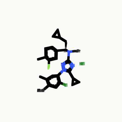 CCCN(c1nc(C2CC2)n(-c2cc(C)c(OC)cc2Cl)n1)[C@@H](CC1CC1)c1ccc(C)c(F)c1.Cl